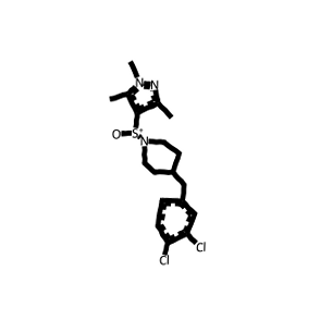 Cc1nn(C)c(C)c1[S+]([O-])N1CCC(Cc2ccc(Cl)c(Cl)c2)CC1